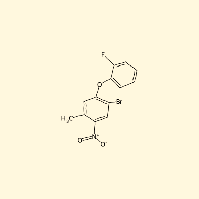 Cc1cc(Oc2ccccc2F)c(Br)cc1[N+](=O)[O-]